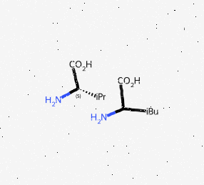 CC(C)[C@H](N)C(=O)O.CCC(C)C(N)C(=O)O